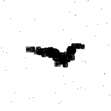 COC1C=CC(n2c(=O)c(C)c(C34CC[C@]5(C)C(CCC6C7(C)CCC(OC(=O)CC(C)(C)C(=O)O)C(C)(C)C7CCC65C)C3=C(C(C)C)C(=O)C4)n2C)=CC1